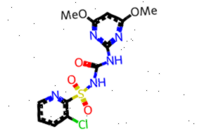 COc1cc(OC)nc(NC(=O)NS(=O)(=O)c2ncccc2Cl)n1